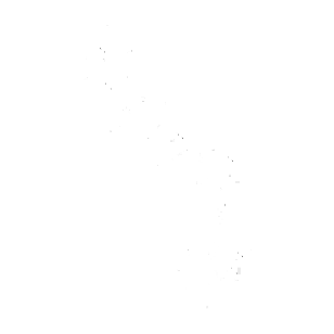 Cc1cccc2c(C#Cc3cncc(C(=O)Nc4ccc(CN5CCN(C)CC5)c(C(F)(F)F)c4)c3)n[nH]c12